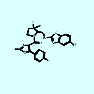 Cc1nc(C(=O)N2CCC(F)(F)C2CNc2nc3cc(Cl)ccc3o2)c(-c2ccc(F)cc2)s1